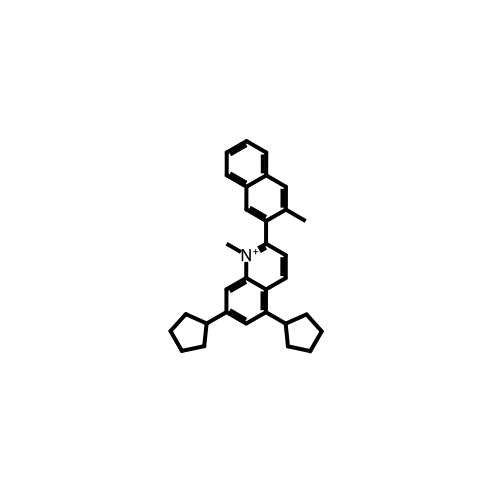 Cc1cc2ccccc2cc1-c1ccc2c(C3CCCC3)cc(C3CCCC3)cc2[n+]1C